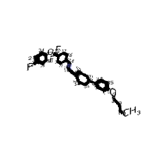 CCCCOc1ccc(C2CCC(/C=C/C3CCC(C(F)(F)Oc4ccc(F)cc4)CC3)CC2)cc1